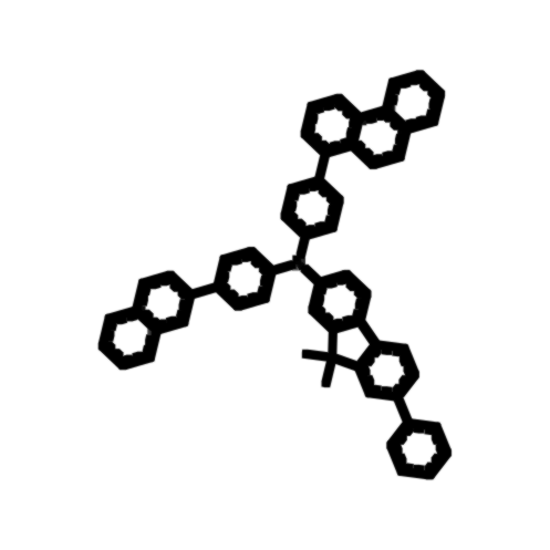 CC1(C)c2cc(-c3ccccc3)ccc2-c2ccc(N(c3ccc(-c4ccc5ccccc5c4)cc3)c3ccc(-c4cccc5c4ccc4ccccc45)cc3)cc21